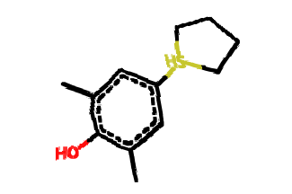 Cc1cc([SH]2CCCC2)cc(C)c1O